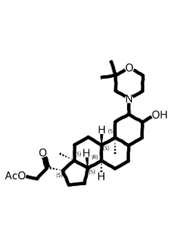 CC(=O)OCC(=O)[C@H]1CC[C@H]2[C@@H]3CCC4CC(O)C(N5CCOC(C)(C)C5)C[C@]4(C)[C@H]3CC[C@]12C